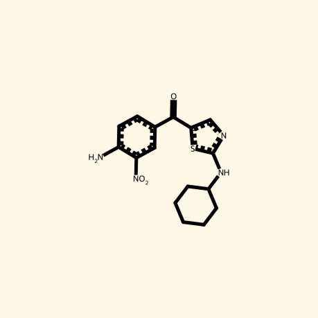 Nc1ccc(C(=O)c2cnc(NC3CCCCC3)s2)cc1[N+](=O)[O-]